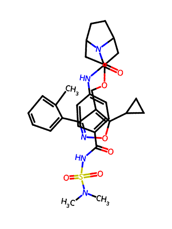 Cc1ccccc1-c1noc(C2CC2)c1COC1CC2CCC(C1)N2C(=O)Nc1ccc(C(=O)NS(=O)(=O)N(C)C)cc1